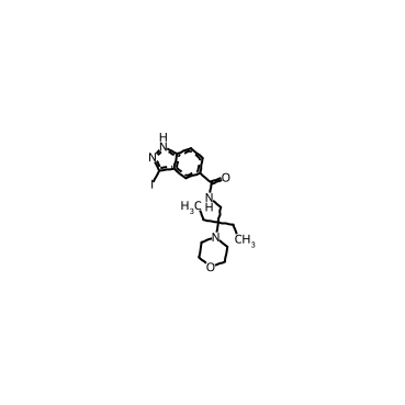 CCC(CC)(CNC(=O)c1ccc2[nH]nc(I)c2c1)N1CCOCC1